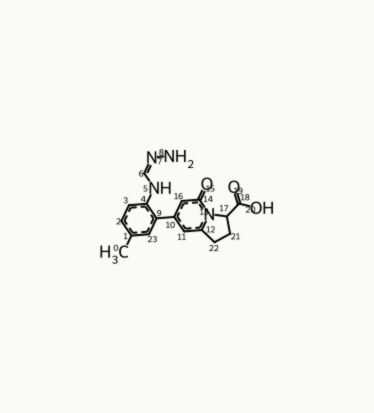 Cc1ccc(N/C=N\N)c(-c2cc3n(c(=O)c2)C(C(=O)O)CC3)c1